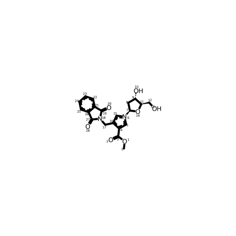 COC(=O)c1cn([C@H]2C[C@H](O)[C@@H](CO)O2)cc1CN1C(=O)c2ccccc2C1=O